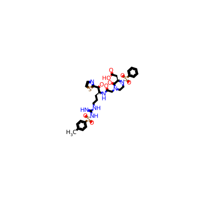 Cc1ccc(S(=O)(=O)NC(=N)NCCC[C@H](NC(=O)CN2CCN(S(=O)(=O)c3ccccc3)[C@H](CC(=O)O)C2=O)C(=O)c2nccs2)cc1